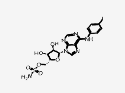 NS(=O)(=O)OC[C@H]1O[C@@H](n2cnc3c(Nc4ccc(I)cc4)ncnc32)[C@H](O)[C@@H]1O